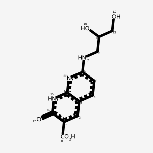 O=C(O)c1cc2ccc(NCC(O)CO)nc2[nH]c1=O